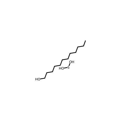 CCCCCCCCCCCCO.OSO